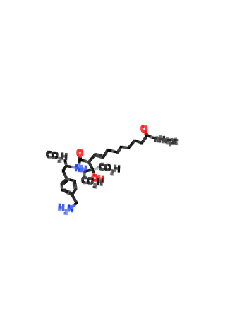 CCCCCCCC(=O)CCCCCC/C=C/[C@H](C(=O)N[C@@H](Cc1ccc(CN)cc1)C(=O)O)[C@@](O)(CC(=O)O)C(=O)O